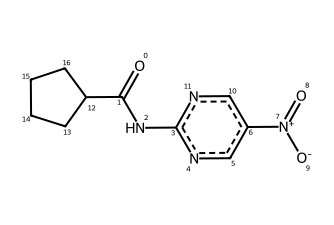 O=C(Nc1ncc([N+](=O)[O-])cn1)C1CCCC1